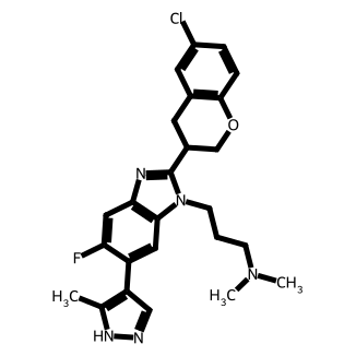 Cc1[nH]ncc1-c1cc2c(cc1F)nc(C1COc3ccc(Cl)cc3C1)n2CCCN(C)C